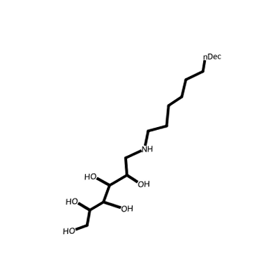 CCCCCCCCCCCCCCCCNCC(O)C(O)C(O)C(O)CO